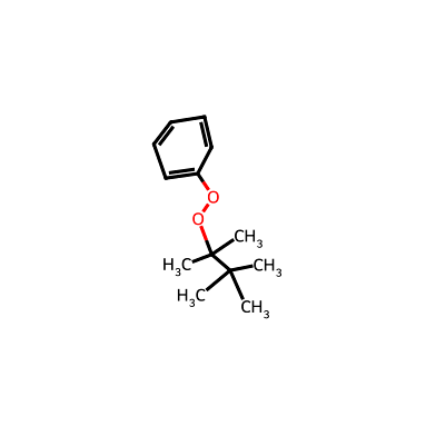 CC(C)(C)C(C)(C)OOc1ccccc1